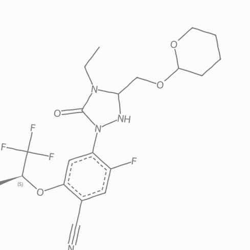 CCN1C(=O)N(c2cc(O[C@@H](C)C(F)(F)F)c(C#N)cc2F)NC1COC1CCCCO1